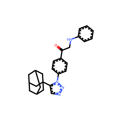 O=C(CNc1ccccc1)c1ccc(-n2nncc2C23CC4CC(CC(C4)C2)C3)cc1